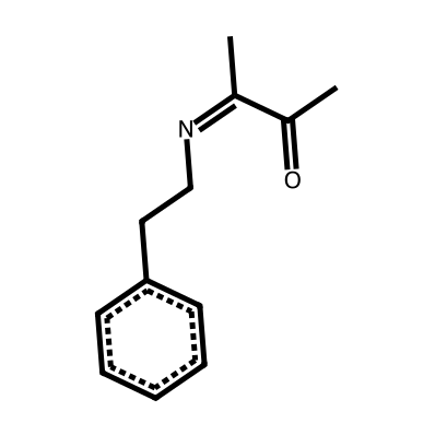 CC(=O)C(C)=NCCc1ccccc1